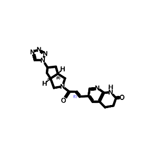 O=C1CCc2cc(/C=C/C(=O)N3C[C@H]4CC(n5cnnn5)C[C@H]4C3)cnc2N1